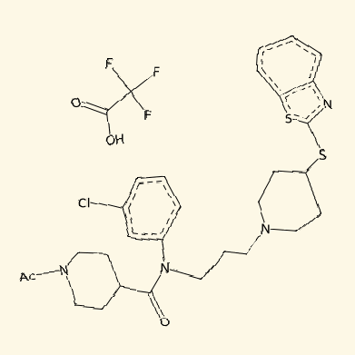 CC(=O)N1CCC(C(=O)N(CCCN2CCC(Sc3nc4ccccc4s3)CC2)c2cccc(Cl)c2)CC1.O=C(O)C(F)(F)F